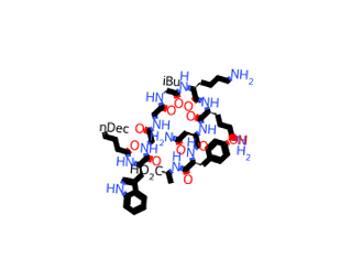 CCCCCCCCCCCCCC(=O)N[C@H](Cc1c[nH]c2ccccc12)C(=O)NCC(=O)NCC(=O)N[C@@H](C(=O)N[C@H](CCCCN)C(=O)N[C@H](CCCCN)C(=O)N[C@H](CC(N)=O)C(=O)N[C@H](Cc1ccc(O)cc1)C(=O)N[C@H](C)C(=O)O)[C@H](C)CC